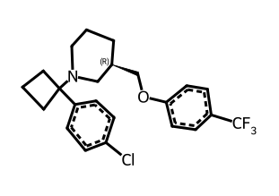 FC(F)(F)c1ccc(OC[C@@H]2CCCN(C3(c4ccc(Cl)cc4)CCC3)C2)cc1